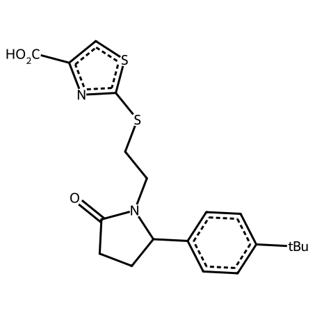 CC(C)(C)c1ccc(C2CCC(=O)N2CCSc2nc(C(=O)O)cs2)cc1